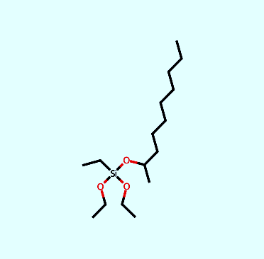 CCCCCCCCC(C)O[Si](CC)(OCC)OCC